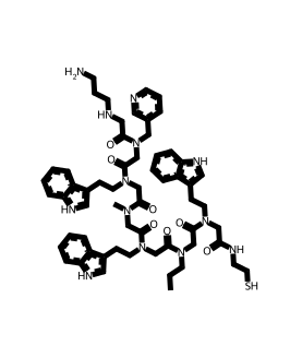 CCCN(CC(=O)N(CCc1c[nH]c2ccccc12)CC(=O)NCCS)C(=O)CN(CCc1c[nH]c2ccccc12)C(=O)CN(C)C(=O)CN(CCc1c[nH]c2ccccc12)C(=O)CN(Cc1cccnc1)C(=O)CNCCCN